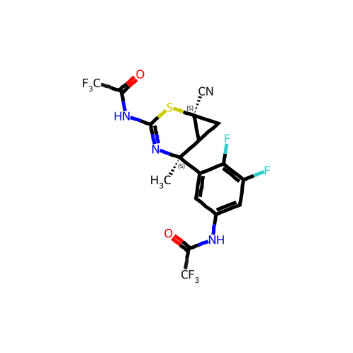 C[C@]1(c2cc(NC(=O)C(F)(F)F)cc(F)c2F)N=C(NC(=O)C(F)(F)F)S[C@@]2(C#N)CC21